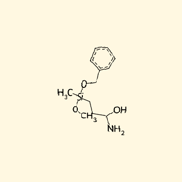 CO[Si](C)(CCC(N)O)OCc1ccccc1